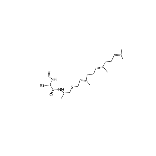 C=CNC(CC)C(=O)NC(C)CSC/C=C(\C)CC/C=C(\C)CCC=C(C)C